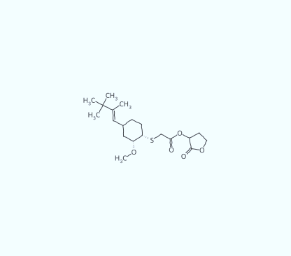 CO[C@@H]1CC(/C=C(\C)C(C)(C)C)CC[C@@H]1SCC(=O)OC1CCOC1=O